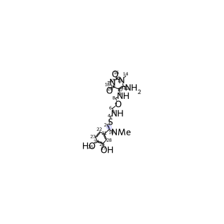 CN/C(=C\SCNCOCNc1c(N)n(C)c(=O)n(C)c1=O)c1ccc(O)c(O)c1